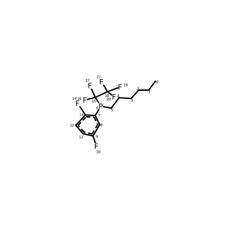 CCCCCCP(c1cc(F)ccc1F)C(F)(F)C(F)(F)F